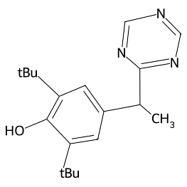 CC(c1cc(C(C)(C)C)c(O)c(C(C)(C)C)c1)c1ncncn1